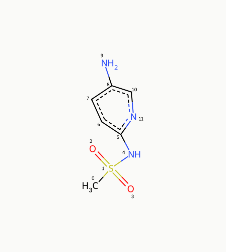 CS(=O)(=O)Nc1ccc(N)cn1